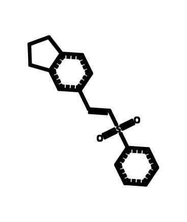 O=S(=O)(/C=C/c1ccc2c(c1)CCC2)c1ccccc1